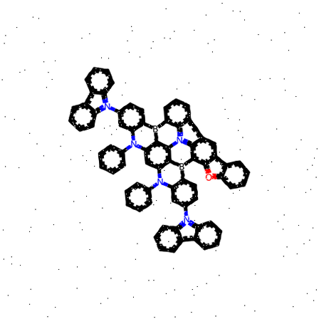 c1ccc(N2c3cc(-n4c5ccccc5c5ccccc54)ccc3B3c4c2cc2c5c4-n4c6c3cccc6c3cc6c(oc7ccccc76)c(c34)B5c3ccc(-n4c5ccccc5c5ccccc54)cc3N2c2ccccc2)cc1